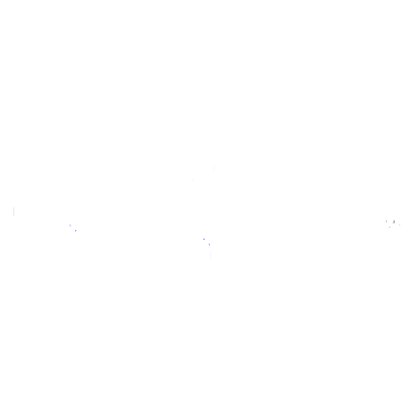 COC(=O)c1ccc(NC(=O)c2ccn(C)c2)c(O)c1